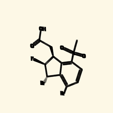 CS(=O)(=O)c1ccc(Br)c2c1[C@H](CC(=O)O)[C@H](F)[C@H]2Br